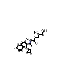 C/C(=C(/C#N)C(=O)CCC(O)CO)c1ccc2ccccc2c1N1CCC1